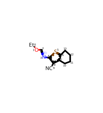 CCO/C=N/c1sc2c(c1C#N)CCCC2